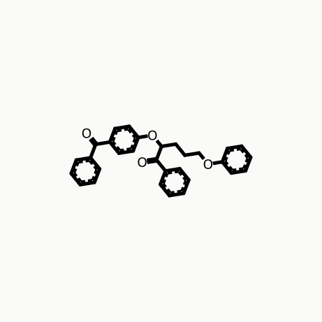 O=C(c1ccccc1)c1ccc(OC(CCCOc2ccccc2)C(=O)c2ccccc2)cc1